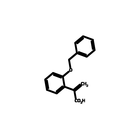 C=C(C(=O)O)c1ccccc1OCc1ccccc1